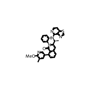 COc1ncc(-c2cccc3cc([C@H](C)Nc4nccc5scnc45)n(-c4ccccc4)c(=O)c23)cc1C